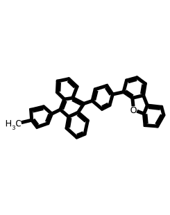 Cc1ccc(-c2c3ccccc3c(-c3ccc(-c4cccc5c4oc4ccccc45)cc3)c3ccccc23)cc1